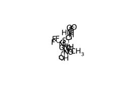 COC(=O)N[C@@H](Cc1ccccc1)C(=O)N[C@@H](Cc1ccc(NO[SH](=O)=O)cc1)c1nc(CC(F)(F)F)cs1